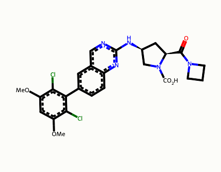 COc1cc(OC)c(Cl)c(-c2ccc3nc(N[C@H]4C[C@@H](C(=O)N5CCC5)N(C(=O)O)C4)ncc3c2)c1Cl